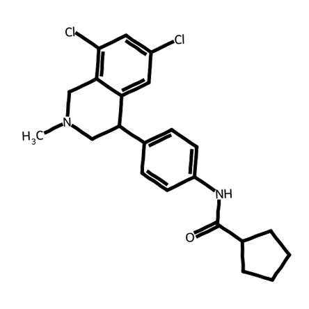 CN1Cc2c(Cl)cc(Cl)cc2C(c2ccc(NC(=O)C3CCCC3)cc2)C1